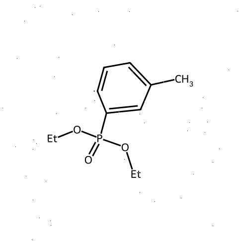 CCOP(=O)(OCC)c1[c]ccc(C)c1